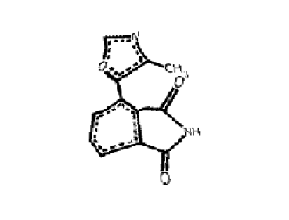 Cc1ncoc1-c1cccc2c1C(=O)NC2=O